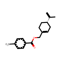 C=C(C)[C@@H]1CC=C(COC(=O)c2ccc([N+](=O)[O-])cc2)CC1